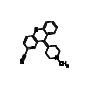 CN1CCC(=C2c3ccccc3Sc3ccc(C#N)cc32)CC1